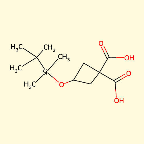 CC(C)(C)[Si](C)(C)OC1CC(C(=O)O)(C(=O)O)C1